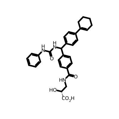 O=C(Nc1ccccc1)NC(c1ccc(C(=O)NC[C@@H](O)C(=O)O)cc1)c1ccc(C2=CCCCC2)cc1